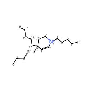 CCCCCN1C=CC(CCCCC)(CCCCC)CC1